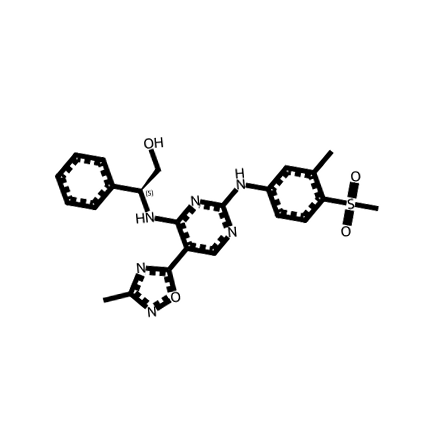 Cc1noc(-c2cnc(Nc3ccc(S(C)(=O)=O)c(C)c3)nc2N[C@H](CO)c2ccccc2)n1